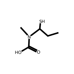 CCC(S)N(C)C(=O)O